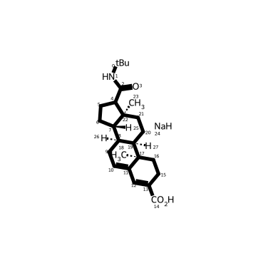 CC(C)(C)NC(=O)C1CC[C@H]2[C@@H]3CC=C4C=C(C(=O)O)CC[C@]4(C)[C@@H]3CC[C@]12C.[NaH]